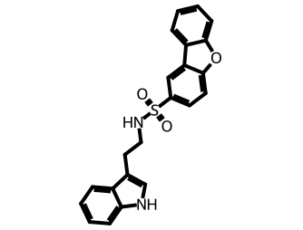 O=S(=O)(NCCc1c[nH]c2ccccc12)c1ccc2oc3ccccc3c2c1